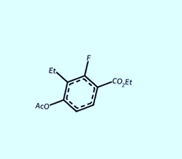 CCOC(=O)c1ccc(OC(C)=O)c(CC)c1F